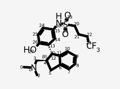 CN(C)C[C@@H]1Cc2ccccc2[C@H]1c1cc(NS(=O)(=O)CCCC(F)(F)F)ccc1O